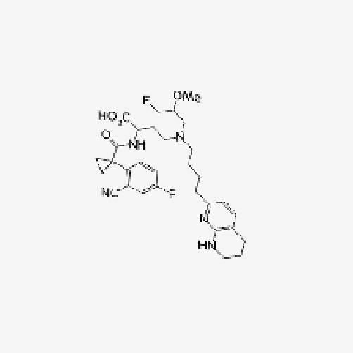 COC(CF)CN(CCCCc1ccc2c(n1)NCCC2)CCC(NC(=O)C1(c2ccc(F)cc2C#N)CC1)C(=O)O